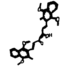 COc1c(C)c(C=CC(=O)C=C(O)C=Cc2c(C)c(OC)c3ccccc3c2OC)c(OC)c2ccccc12